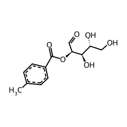 Cc1ccc(C(=O)O[C@@H](C=O)[C@H](O)[C@H](O)CO)cc1